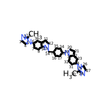 Cc1nccn1-c1ccc2c(ccn2[CH]c2ccc(-n3ccc4cc(-n5ccnc5C)ccc43)cc2)c1